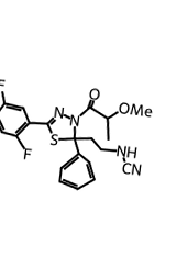 COC(C)C(=O)N1N=C(c2cc(F)ccc2F)SC1(CCNC#N)c1ccccc1